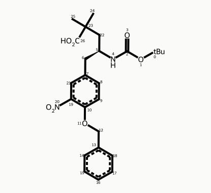 CC(C)(C)OC(=O)N[C@@H](Cc1ccc(OCc2ccccc2)c([N+](=O)[O-])c1)CC(C)(C)C(=O)O